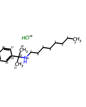 CCCCCCCCNC(C)(C)c1ccccc1.Cl